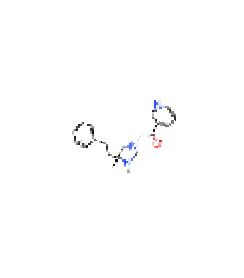 CN1CN(CC(=O)c2cccnc2)CC1(C)CCc1ccccc1